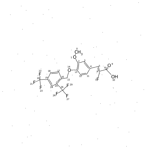 COc1cc(C=C(F)C(=O)O)ccc1OCc1ccc(C(F)(F)F)cc1C(F)(F)F